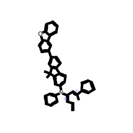 C=C/C=C(\C=C(/C)c1ccccc1)N(c1ccccc1)c1ccc2c(c1)C(C)(C)c1cc(-c3ccc4oc5ccccc5c4c3)ccc1-2